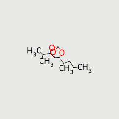 CCCC(C)C1OC2OC(C(C)C)C1O2